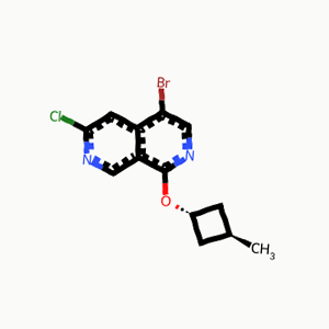 C[C@H]1C[C@H](Oc2ncc(Br)c3cc(Cl)ncc23)C1